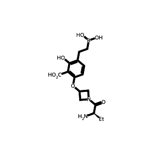 CC[C@@H](N)C(=O)N1CC(Oc2ccc(CCB(O)O)c(O)c2C(=O)O)C1